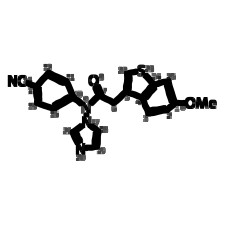 COc1ccc2c(CC(=O)N(c3ccc(C#N)cc3)n3ccnc3)csc2c1